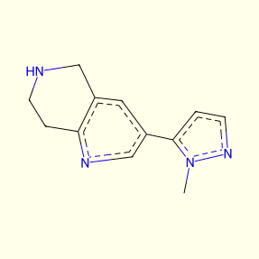 Cn1nccc1-c1cnc2c(c1)CNCC2